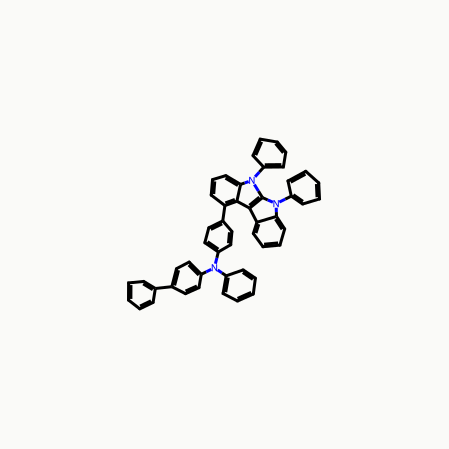 c1ccc(-c2ccc(N(c3ccccc3)c3ccc(-c4cccc5c4c4c6ccccc6n(-c6ccccc6)c4n5-c4ccccc4)cc3)cc2)cc1